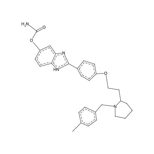 Cc1ccc(CN2CCCCC2CCOc2ccc(-c3nc4cc(OC(N)=O)ccc4[nH]3)cc2)cc1